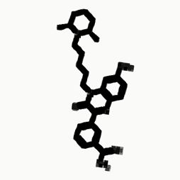 CSc1ccc2nc(-c3cccc(C(=N)N)c3)c(=O)n(CCCCCN3[C@H](C)CCC[C@@H]3C)c2c1